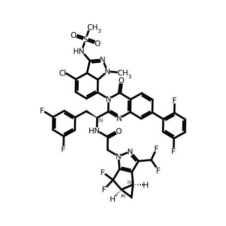 CN1N=C(NS(C)(=O)=O)C2C(Cl)=CC=C(n3c([C@H](Cc4cc(F)cc(F)c4)NC(=O)Cn4nc(C(F)F)c5c4C(F)(F)[C@@H]4C[C@H]54)nc4cc(-c5cc(F)ccc5F)ccc4c3=O)C21